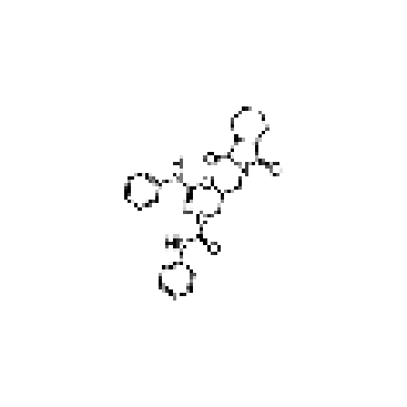 O=C(Nc1ccccc1)OCC(CN1C(=O)C2CCCCC2C1=O)OC(=O)Nc1ccccc1